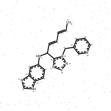 C/C=C/C=C/C(Nc1ccc2[nH]cnc2c1)c1nnnn1Cc1cccnc1